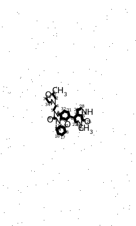 C[C@@H]1CN(CCn2c(=O)[nH]c3c(Oc4ccccc4)c(-c4cn(C)c(=O)c5[nH]ccc45)ccc32)CCO1